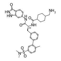 Cc1ccc(S(=O)(=O)N(C)C)cc1-c1cccc(C[C@H](NC(=O)C2CCC(CN)CC2)C(=O)Nc2ccc3c(=O)[nH][nH]c3c2)c1